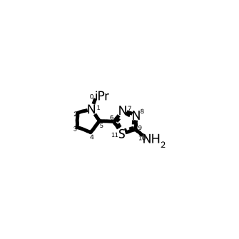 CC(C)N1CCCC1c1nnc(N)s1